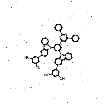 N#Cc1cc(C#N)cc(-c2ccc3c(c2)c2ccccc2n3-c2cc(-c3cc(-c4ccccc4)nc(-c4ccccc4)n3)cc(-n3c4ccccc4c4cc(-c5cc(C#N)cc(C#N)c5)ccc43)c2)c1